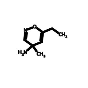 CCC1=CC(C)(N)C=NO1